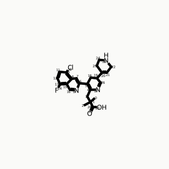 CC(C)(CC1=C(c2cc3c(Cl)ccc(F)c3cn2)CC(C2=CCNCC2)C=N1)C(=O)O